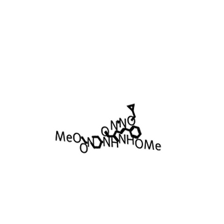 COCC(=O)N1CCC(NC(=O)c2c[nH]c3c(-c4cc(OC)ccc4OCC4CC4)ncnc23)CC1